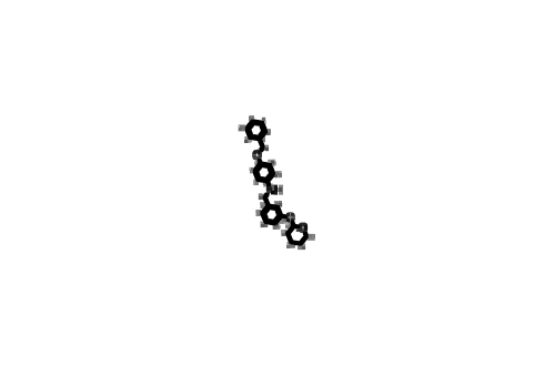 c1ccc(COc2ccc(NCc3cccc(OC4CCCCO4)c3)cc2)cc1